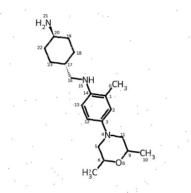 Cc1cc(N2CC(C)OC(C)C2)ccc1NC[C@H]1CC[C@H](N)CC1